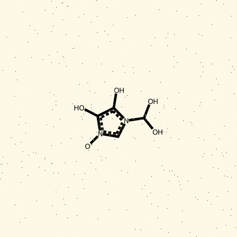 [O-][n+]1cn(C(O)O)c(O)c1O